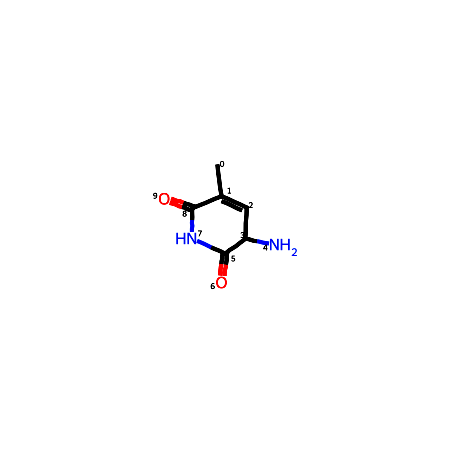 CC1=CC(N)C(=O)NC1=O